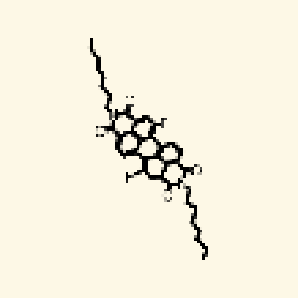 CCCCCCCCN1C(=O)c2ccc3c4c(F)cc5c6c(ccc(c7c(F)cc(c2c37)C1=O)c64)C(=O)N(CCCCCCCC)C5=O